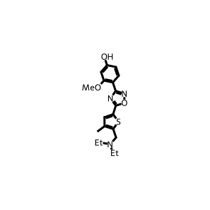 CCN(CC)Cc1sc(-c2nc(-c3ccc(O)cc3OC)no2)cc1C